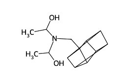 CC(O)N(CC12C3C4C5C3C1C5C42)C(C)O